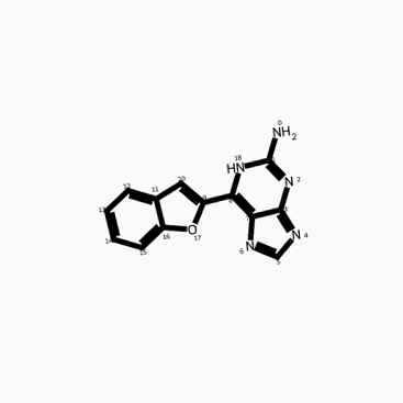 Nc1nc2ncnc-2c(-c2cc3ccccc3o2)[nH]1